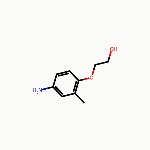 Cc1cc(N)ccc1OCCO